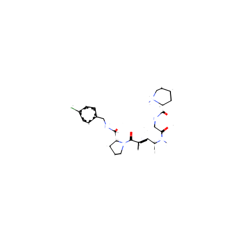 C/C(=C\[C@H](C(C)C)N(C)C(=O)[C@@H](NC(=O)[C@H]1CCCCN1C(C)C)C(C)(C)C)C(=O)N1CCC[C@H]1C(=O)NCc1ccc(Cl)cc1